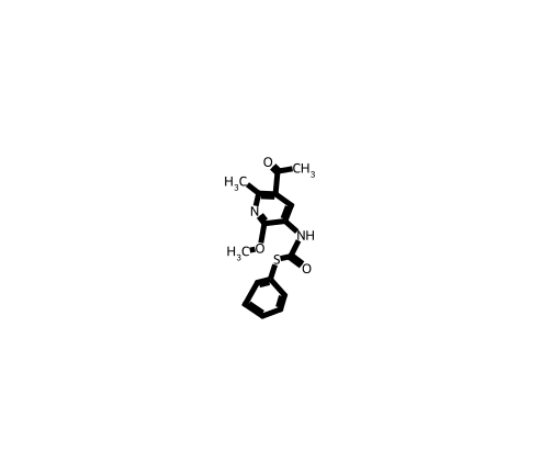 COc1nc(C)c(C(C)=O)cc1NC(=O)Sc1ccccc1